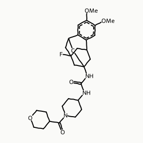 COc1cc2c(cc1OC)C1CC3(F)CC2CC(NC(=O)NC2CCN(C(=O)C4CCOCC4)CC2)(C1)C3